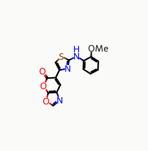 COc1ccccc1Nc1nc(-c2cc3ncoc3oc2=O)cs1